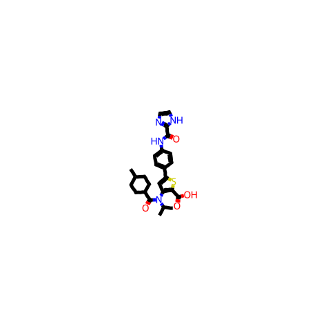 CC1CCC(C(=O)N(c2cc(-c3ccc(NC(=O)c4ncc[nH]4)cc3)sc2C(=O)O)C(C)C)CC1